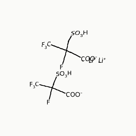 O=C([O-])C(F)(C(F)(F)F)S(=O)(=O)O.O=C([O-])C(F)(C(F)(F)F)S(=O)(=O)O.[Li+].[Li+]